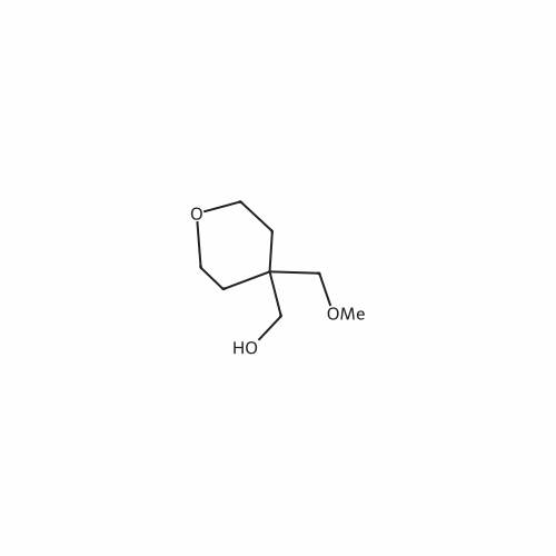 COCC1(CO)CCOCC1